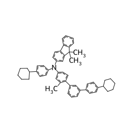 Cc1cc(N(c2ccc(C3CCCCC3)cc2)c2ccc3c(c2)C(C)(C)c2ccccc2-3)ccc1-c1cccc(-c2ccc(C3CCCCC3)cc2)c1